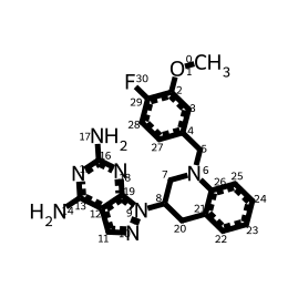 COc1cc(CN2CC(n3ncc4c(N)nc(N)nc43)Cc3ccccc32)ccc1F